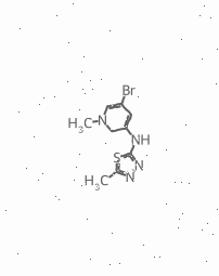 Cc1nnc(NC2=CC(Br)=CN(C)C2)s1